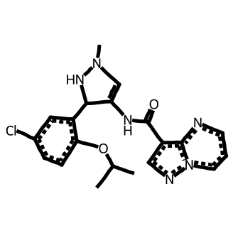 CC(C)Oc1ccc(Cl)cc1C1NN(C)C=C1NC(=O)c1cnn2cccnc12